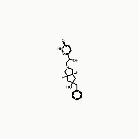 O=c1ccc(C(O)CN2C[C@@H]3CC(O)(Cc4ccccc4)C[C@@H]3C2)n[nH]1